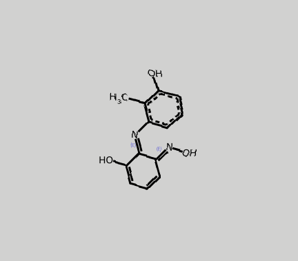 Cc1c(O)cccc1/N=C1/C(O)=CC=C/C1=N\O